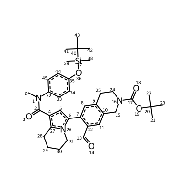 CN(C(=O)c1cc(-c2cc3c(cc2C=O)CN(C(=O)OC(C)(C)C)CC3)n2c1CCCC2)c1ccc(O[Si](C)(C)C(C)(C)C)cc1